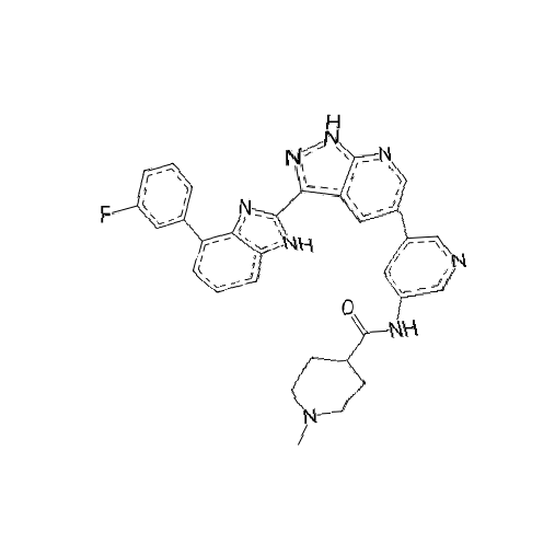 CN1CCC(C(=O)Nc2cncc(-c3cnc4[nH]nc(-c5nc6c(-c7cccc(F)c7)cccc6[nH]5)c4c3)c2)CC1